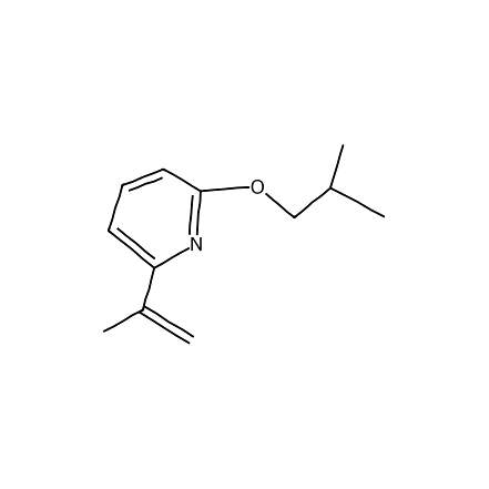 C=C(C)c1cccc(OCC(C)C)n1